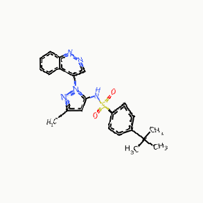 Cc1cc(NS(=O)(=O)c2ccc(C(C)(C)C)cc2)n(-c2cnnc3ccccc23)n1